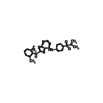 Cc1cccc(C)c1Nc1nc2c(Nc3ccc(S(=O)(=O)N(C)C)cc3)ncnc2s1